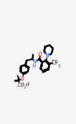 CC(Cc1ccc(OC(C)(C)C(=O)O)cc1)NC(=O)c1cccc(C(F)(F)F)c1N1CCCCC1